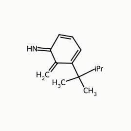 C=C1C(=N)C=CC=C1C(C)(C)C(C)C